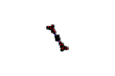 CC1(C)c2cc(/C=C/c3ccc4c5cccc6c(/C=C/c7ccc8c(c7)C(C)(C)c7cc(N(c9ccccc9)c9ccc%10ccccc%10c9)ccc7-8)ccc(c7cccc3c74)c65)ccc2-c2ccc(N(c3ccccc3)c3ccc4ccccc4c3)cc21